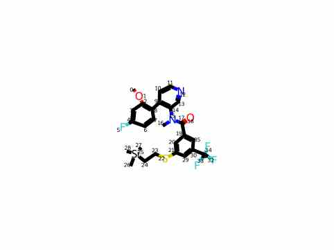 COc1cc(F)ccc1-c1ccncc1N(C)C(=O)c1cc(SCC[Si](C)(C)C)cc(C(F)(F)F)c1